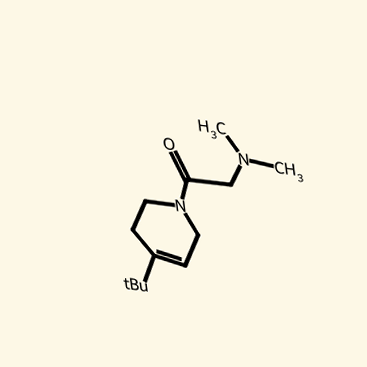 CN(C)CC(=O)N1CC=C(C(C)(C)C)CC1